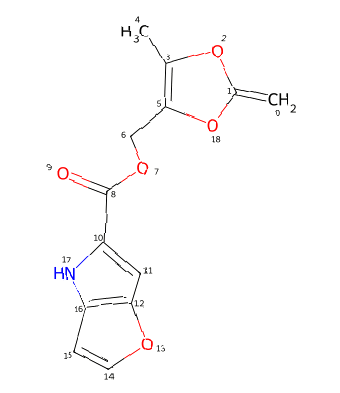 C=C1OC(C)=C(COC(=O)c2cc3occc3[nH]2)O1